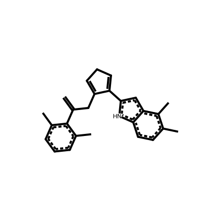 C=C(CC1=CCC=C1c1cc2c(C)c(C)ccc2[nH]1)c1c(C)cccc1C